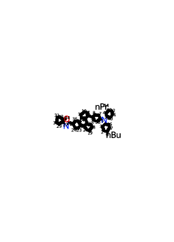 CCCCc1ccc(N(c2ccc(-c3ccccc3-c3ccccc3-c3ccc(-c4nc5ccccc5o4)cc3)cc2)c2cccc(CCC)c2)cc1